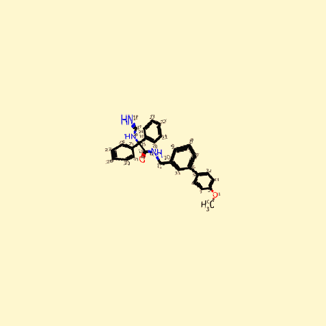 COc1ccc(-c2cccc(CNC(=O)C(NC=N)(c3ccccc3)c3ccccc3)c2)cc1